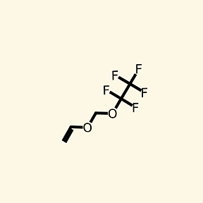 C=COCOC(F)(F)C(F)(F)F